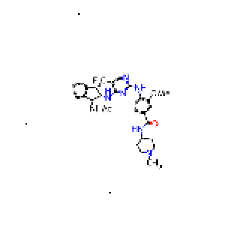 COc1cc(C(=O)NC2CCN(C)CC2)ccc1Nc1ncc(C(F)(F)F)c(N[C@@H]2Cc3ccccc3[C@@H]2NC(C)=O)n1